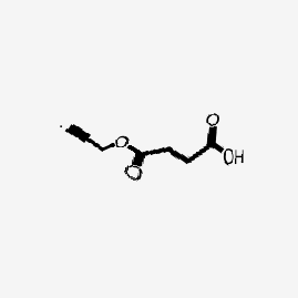 [C]#CCOC(=O)CCC(=O)O